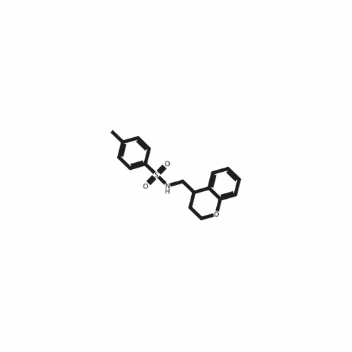 Cc1ccc(S(=O)(=O)NCC2CCOc3c[c]ccc32)cc1